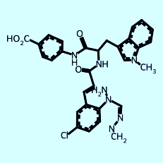 C=N/N=C\N(N)c1ccc(Cl)cc1/C=C/C(=O)NC(Cc1cn(C)c2ccccc12)C(=O)Nc1ccc(C(=O)O)cc1